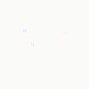 CC(C)(C)OC(=O)C1CCC(Oc2cn(C3CCONO3)c(=O)c3ccccc23)CC1